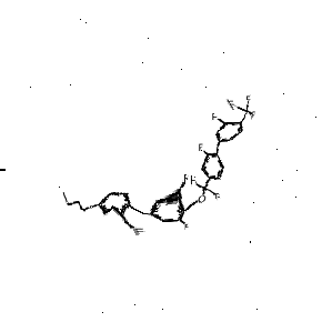 CCCCc1ccc(-c2cc(F)c(OC(F)(F)c3ccc(-c4ccc(C(F)(F)F)c(F)c4)c(F)c3)c(F)c2)c(F)c1